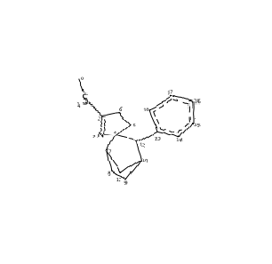 CSC1=NC2(CC1)C1CCC(C1)C2c1ccccc1